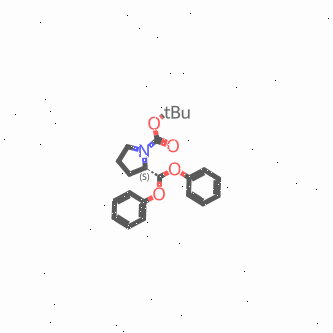 CC(C)(C)OC(=O)N1CCC[C@H]1C(Oc1ccccc1)Oc1ccccc1